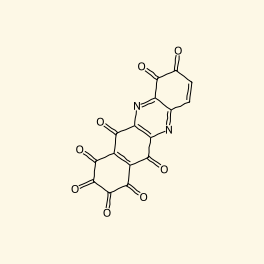 O=c1ccc2nc3c(=O)c4c(=O)c(=O)c(=O)c(=O)c4c(=O)c3nc2c1=O